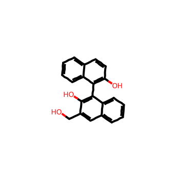 OCc1cc2ccccc2c(-c2c(O)ccc3ccccc23)c1O